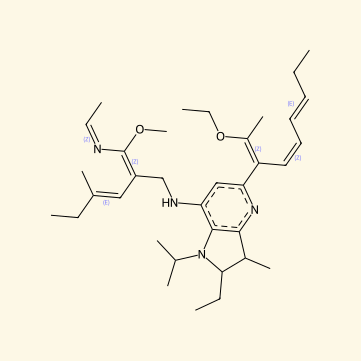 C\C=N/C(OC)=C(\C=C(/C)CC)CNc1cc(C(/C=C\C=C\CC)=C(/C)OCC)nc2c1N(C(C)C)C(CC)C2C